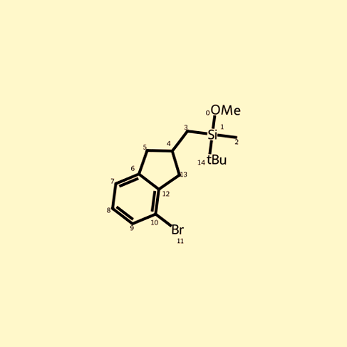 CO[Si](C)(CC1Cc2cccc(Br)c2C1)C(C)(C)C